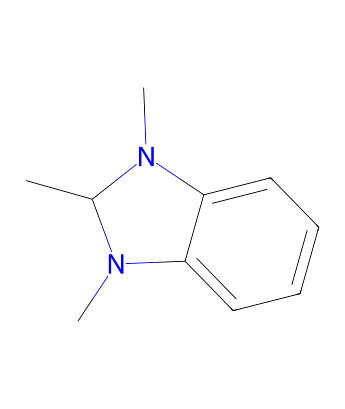 CC1N(C)c2ccccc2N1C